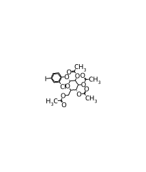 CC(=O)OCC1O[C@H](Oc2ccc(I)cc2Cl)C(OC(C)=O)C(OC(C)=O)[C@@H]1OC(C)=O